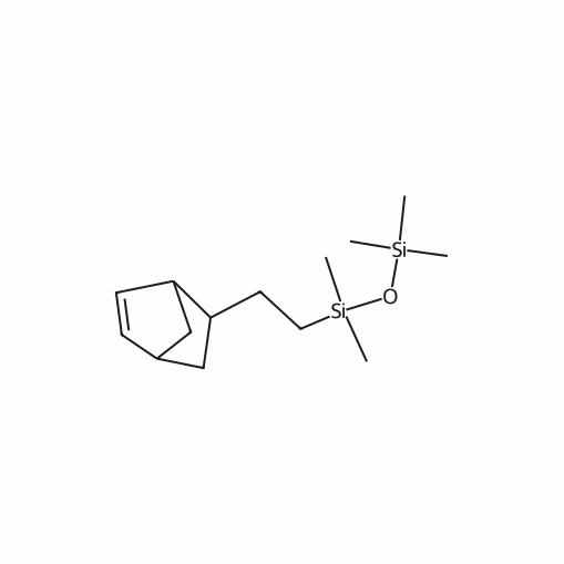 C[Si](C)(C)O[Si](C)(C)CCC1CC2C=CC1C2